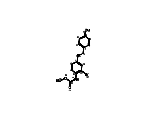 CCC(C)c1ccc(COc2ccc(NC(=O)OC(C)(C)C)c(Br)c2)cc1